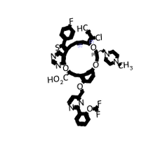 C#C/C(Cl)=C1\C=C/Cc2c(-c3ccc(F)cc3)sc3ncnc(c23)O[C@@H](C(=O)O)Cc2cc(ccc2OCc2ccnc(-c3ccccc3OC(F)F)n2)OC[C@@H](CN2CCN(C)CC2)O1